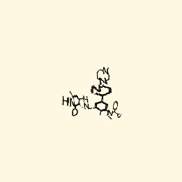 CCN(C(=O)C1CC1)c1cc(-c2ccc(N3CCCN(C)CC3)nc2)cc(CNCc2c(C)cc(C)[nH]c2=O)c1C